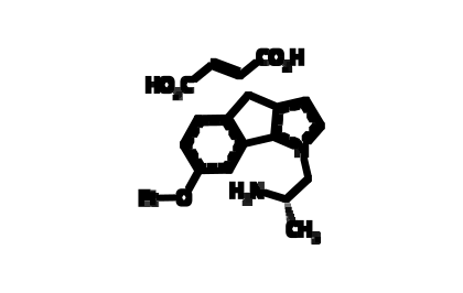 CCOc1ccc2c(c1)-c1c(ccn1C[C@H](C)N)C2.O=C(O)C=CC(=O)O